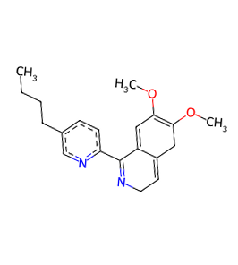 CCCCc1ccc(C2=NCC=C3CC(OC)=C(OC)C=C32)nc1